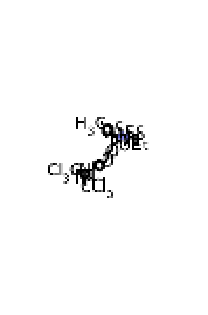 CCN1C(=O)/C(=C2/Sc3cc(C)ccc3N2CCOCOc2ccc(-c3nc(C(Cl)(Cl)Cl)nc(C(Cl)(Cl)Cl)n3)cc2)SC1=S